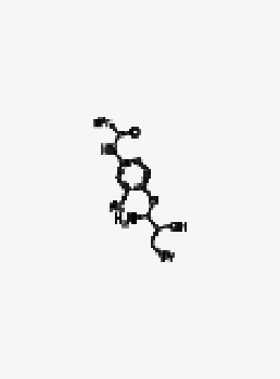 CCCC(=O)Nc1ccc(OC(N)C(O)CC(C)C)c(C(C)=O)c1